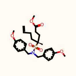 C=CCC[C@](C)(CCC(=O)OC)S(=O)(=O)N(Cc1ccc(OC)cc1)Cc1ccc(OC)cc1